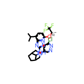 CC(C)c1ccc(O[C@@H](C)C(F)(F)F)n2nc(NC3C4CCC3CN(c3cnnc(Cl)c3)C4)nc12